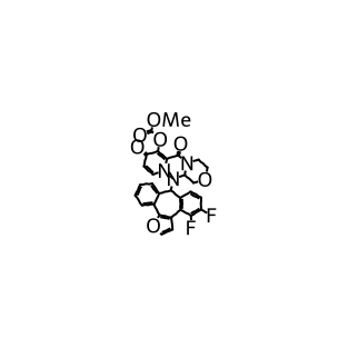 COC(=O)Oc1c2n(ccc1=O)N(C1c3ccccc3-c3occc3-c3c1ccc(F)c3F)C1COCCN1C2=O